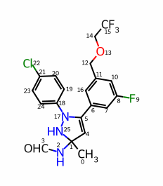 CC1(NC=O)C=C(c2cc(F)cc(COCC(F)(F)F)c2)N(c2ccc(Cl)cc2)N1